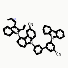 C=Cc1c(/C=C\C)c2ccccc2n1-c1cccc2c1c1cc(C#N)ccc1n2-c1cccc(-c2cc(C#N)cc(-n3c4ccccc4c4ccccc43)c2)c1